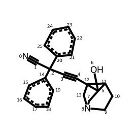 N#CC(C#CC1(O)CN2CCC1CC2)(c1ccccc1)c1ccccc1